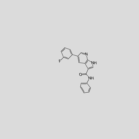 O=C(Nc1ccccc1)c1c[nH]c2ncc(-c3cccc(F)c3)cc12